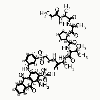 C=CC(=O)NC(C)C(=O)NC(C)C(=O)N1CCCC1C(=O)NC(C(=O)NC(C)C(=O)NCCS(=O)(=O)c1cccc(Nc2cc(S(=O)(=O)O)c(N)c3c2C(=O)c2ccccc2C3=O)c1)C(C)C